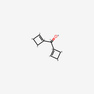 O=C(C1=CCC1)C1=CCC1